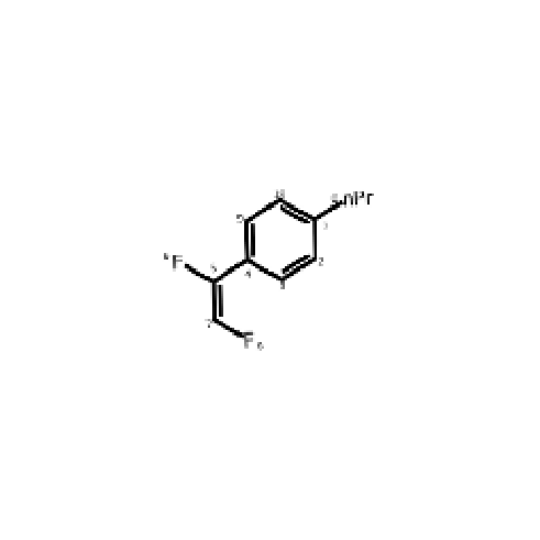 CCCc1ccc(/C(F)=C\F)cc1